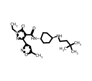 CCn1nc(-c2cc(C)on2)c(C(=O)N[C@H]2CC[C@H](NCCC(C)(C)C)CC2)c1Cl